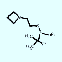 CCCP(SCCN1CCC1)C(C)(C)CC